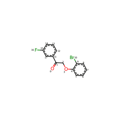 O=C(COc1ccccc1Br)c1cccc(F)c1